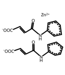 O=C([O-])C=CC(=O)Nc1ccccc1.O=C([O-])C=CC(=O)Nc1ccccc1.[Zn+2]